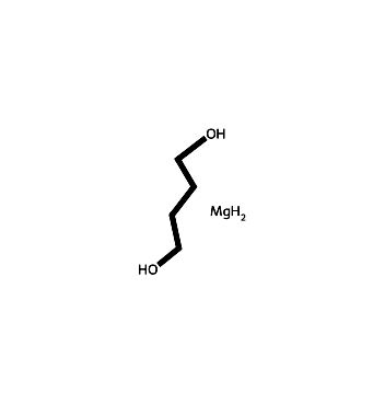 OCCCCO.[MgH2]